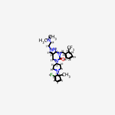 Cc1cccc(F)c1N1CCC(N2Cc3cn(CCN(C)C)nc3N(Cc3ccccc3C(F)(F)F)C2=O)CC1